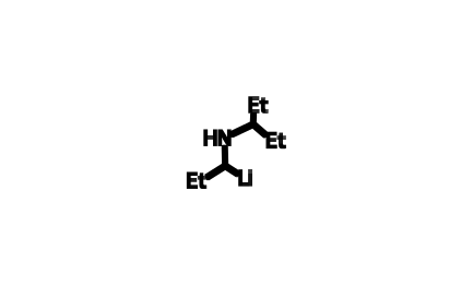 [Li][CH](CC)NC(CC)CC